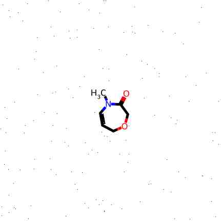 CN1C=CCOCC1=O